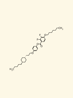 CCCCCCCOc1ccc(C(=O)Oc2ccc(OCCC[C@H]3CC[C@H](CCCCC)CC3)cc2)c(F)c1F